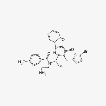 Cc1ccc(C(=O)N(CCN)C(c2nc3c(c(=O)n2Cc2ccc(Br)s2)OC2C=CC=CC32)C(C)C)cc1